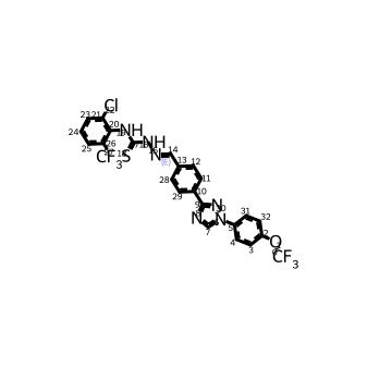 FC(F)(F)Oc1ccc(-n2cnc(-c3ccc(/C=N/NC(=S)Nc4c(Cl)cccc4C(F)(F)F)cc3)n2)cc1